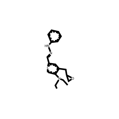 CCN(CC)c1ccc(C=NNc2ccccc2)cc1CC1CO1